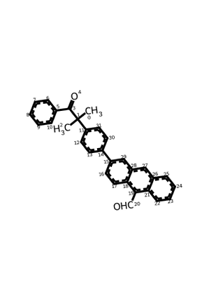 CC(C)(C(=O)c1ccccc1)c1ccc(-c2ccc3c(C=O)c4ccccc4cc3c2)cc1